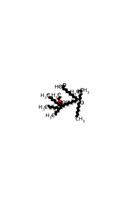 CCCCCCCCC(=O)N(CCCN(C)C)C(CCCCCCCCC(=O)O)CCCCCCCC(CC(CCCC)CCCCCC)(CC(CCCC)CCCCCC)C(=O)O